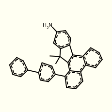 CC1(C)c2cc(N)ccc2-c2c1c1c(-c3ccc(-c4ccccc4)cc3)cccc1c1ccccc21